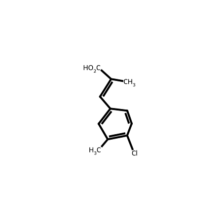 C/C(=C\c1ccc(Cl)c(C)c1)C(=O)O